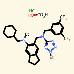 CCN(CC1CCCCC1)c1cc2c(cc1CN(Cc1cc(C(F)(F)F)cc(C(F)(F)F)c1)c1nnn(CC)n1)CCC2.Cl.O=C(O)O